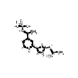 NC(N)=Nc1nc(-c2cc(C(N)=NS(N)(=O)=O)ccn2)cs1